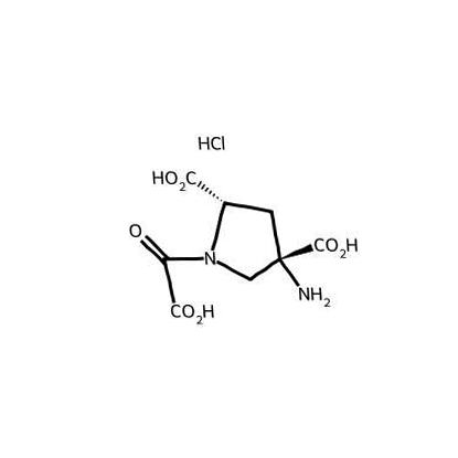 Cl.N[C@@]1(C(=O)O)C[C@@H](C(=O)O)N(C(=O)C(=O)O)C1